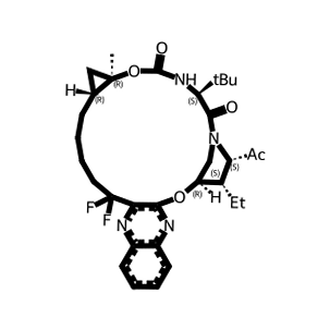 CC[C@@H]1[C@@H]2CN(C(=O)[C@H](C(C)(C)C)NC(=O)O[C@]3(C)C[C@H]3CCCCC(F)(F)c3nc4ccccc4nc3O2)[C@@H]1C(C)=O